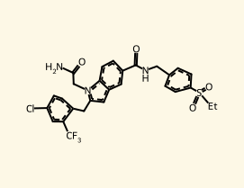 CCS(=O)(=O)c1ccc(CNC(=O)c2ccc3c(c2)cc(Cc2ccc(Cl)cc2C(F)(F)F)n3CC(N)=O)cc1